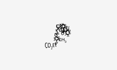 CCOC(=O)CSc1ccc(OCCC(C)Oc2nccc(Cl)c2C(=O)c2ccccc2)cc1C